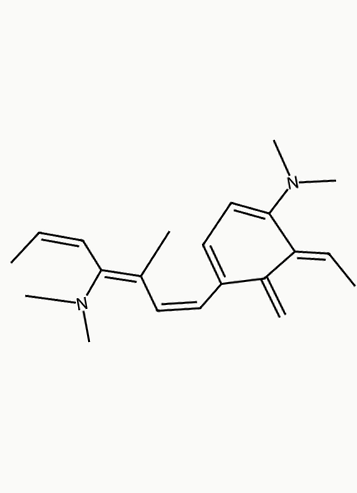 C=c1c(\C=C/C(C)=C(/C=C\C)N(C)C)ccc(N(C)C)/c1=C/C